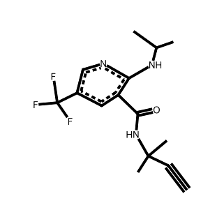 C#CC(C)(C)NC(=O)c1cc(C(F)(F)F)cnc1NC(C)C